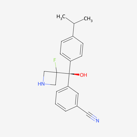 CC(C)c1ccc([C@](O)(c2cccc(C#N)c2)C2(F)CNC2)cc1